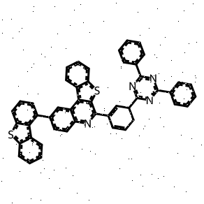 C1=CC(c2nc3ccc(-c4cccc5sc6ccccc6c45)cc3c3c2sc2ccccc23)=CC(c2nc(-c3ccccc3)nc(-c3ccccc3)n2)C1